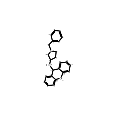 c1ccc(CN2CCC(NC3c4ccccc4Oc4ccccc43)C2)cc1